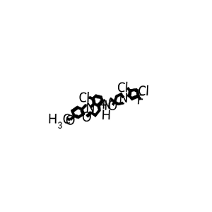 COc1ccc(CN2C(=O)CCc3c(NCC4(O)CCN(c5cc(F)c(Cl)cc5Cl)CC4)ccc(Cl)c32)cc1